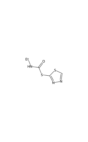 CCNC(=O)Sc1nncs1